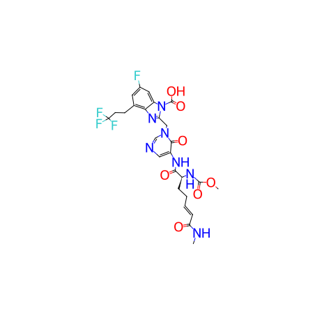 CNC(=O)/C=C/CC[C@H](NC(=O)OC)C(=O)Nc1cncn(Cc2nc3c(CCC(F)(F)F)cc(F)cc3n2C(=O)O)c1=O